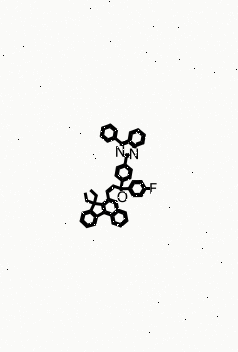 CCC1(CC)c2ccccc2-c2c1c1c(c3ccccc23)OC(c2ccc(F)cc2)(c2ccc(-c3nc(-c4ccccc4)c4ccccc4n3)cc2)C=C1